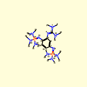 CN(C)C(=Nc1cc(N=P(N(C)C)(N(C)C)N(C)C)ccc1N=P(N(C)C)(N(C)C)N(C)C)N(C)C